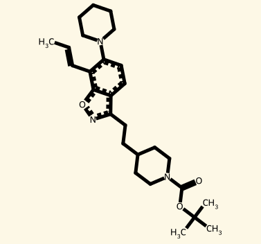 C/C=C/c1c(N2CCCCC2)ccc2c(CCC3CCN(C(=O)OC(C)(C)C)CC3)noc12